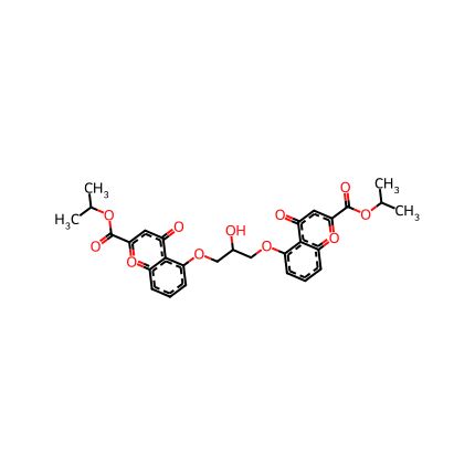 CC(C)OC(=O)c1cc(=O)c2c(OCC(O)COc3cccc4oc(C(=O)OC(C)C)cc(=O)c34)cccc2o1